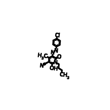 CCCCn1c(O)c(C#N)c(C)c(N=Nc2ccc(Cl)cc2)c1=O